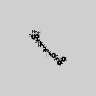 O=C(CCCCCNCC(O)c1ccc(O)c2[nH]c(=O)ccc12)CNCCN1CCC(OC(=O)Nc2ccccc2-c2ccccc2)CC1